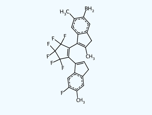 Bc1cc2c(cc1C)C(C1=C(C3=CCc4cc(C)c(F)cc43)C(F)(F)C(F)(F)C1(F)F)=C(C)C2